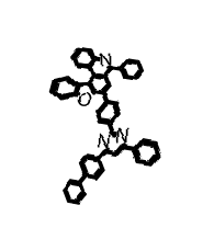 c1ccc(-c2ccc(-c3cc(-c4ccccc4)nc(-c4ccc(-c5cc6c(-c7ccccc7)nc7ccccc7c6c6c5oc5ccccc56)cc4)n3)cc2)cc1